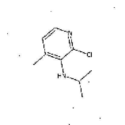 Cc1ccnc(Cl)c1NC(C)C